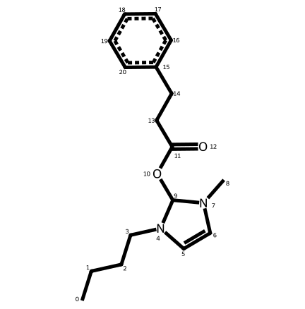 CCCCN1C=CN(C)C1OC(=O)CCc1ccccc1